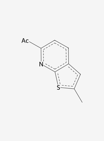 CC(=O)c1ccc2cc(C)sc2n1